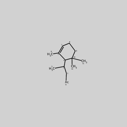 CC(=O)CC(C)C1C(C)=CCCC1(C)C